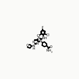 NC(=O)C1CCC(n2c(Nc3c(Cl)cc(F)cc3Cl)nc3cnc(N[C@H]4CCOC4)nc32)CC1